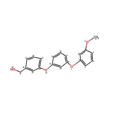 COc1cccc(Oc2cccc(Oc3cccc(CO)c3)c2)c1